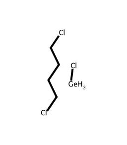 ClCCCCCl.[Cl][GeH3]